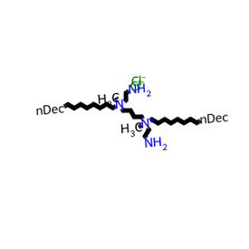 CCCCCCCCCCCCCCCCCC[N+](C)(CCN)CCCC[N+](C)(CCN)CCCCCCCCCCCCCCCCCC.[Cl-].[Cl-]